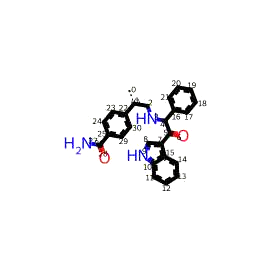 C[C@H](CNC(C(=O)c1c[nH]c2ccccc12)c1ccccc1)c1ccc(C(N)=O)cc1